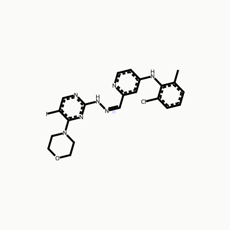 Cc1cccc(Cl)c1Nc1ccnc(/C=N\Nc2ncc(I)c(N3CCOCC3)n2)c1